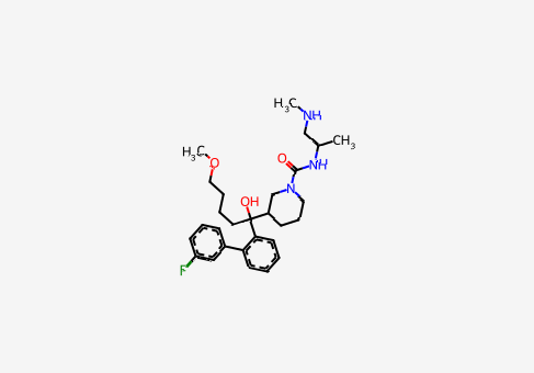 CNCC(C)NC(=O)N1CCCC(C(O)(CCCCOC)c2ccccc2-c2cccc(F)c2)C1